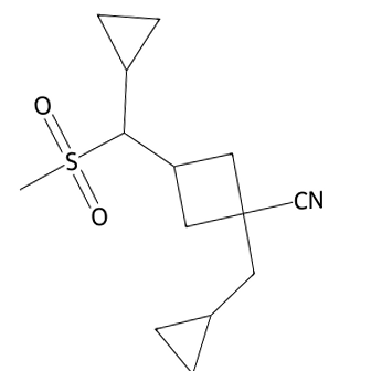 CS(=O)(=O)C(C1CC1)C1CC(C#N)(CC2CC2)C1